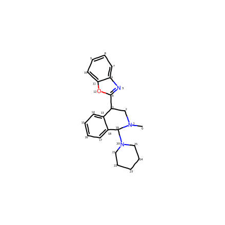 CN1CC(c2nc3ccccc3o2)c2ccccc2C1N1CCCCC1